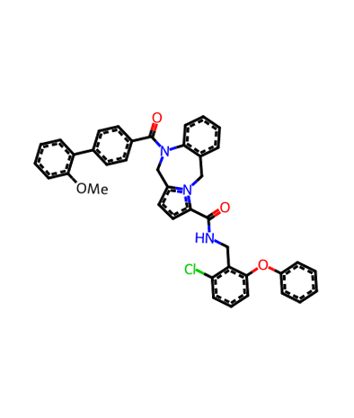 COc1ccccc1-c1ccc(C(=O)N2Cc3ccc(C(=O)NCc4c(Cl)cccc4Oc4ccccc4)n3Cc3ccccc32)cc1